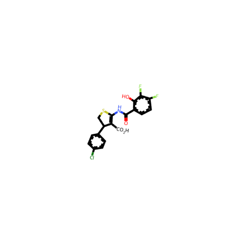 O=C(O)C1=C(NC(=O)c2ccc(F)c(F)c2O)SCC1c1ccc(Cl)cc1